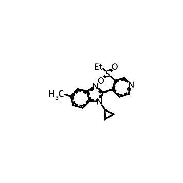 CCS(=O)(=O)c1cnccc1-c1nc2cc(C)ccc2n1C1CC1